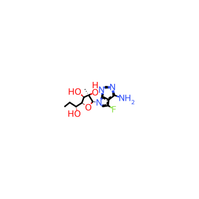 CC[C@@H](O)[C@H]1O[C@@H](n2cc(F)c3c(N)ncnc32)[C@](C)(O)[C@@H]1O